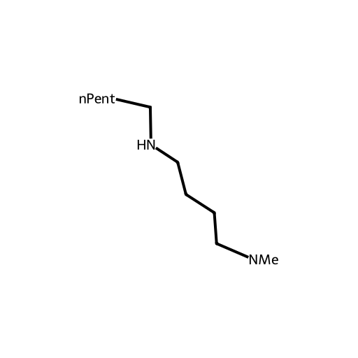 CCCCCCNCCCCNC